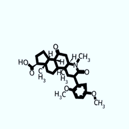 COc1ccc(OC)c(C2C[C@]3(C)[C@H]4CC[C@]5(C)[C@@H](C(=O)O)CC[C@H]5[C@@H]4C(=O)C[C@H]3N(C)C2=O)c1